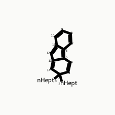 CCCCCCCC1(CCCCCCC)C=CC2=c3ccccc3=CC2=C1